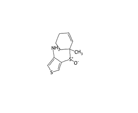 CC1([S+]([O-])c2cscc2N)C=CCCC1